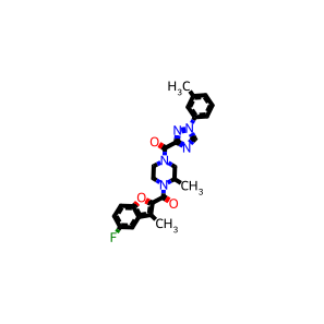 Cc1cccc(-n2cnc(C(=O)N3CCN(C(=O)c4oc5ccc(F)cc5c4C)C(C)C3)n2)c1